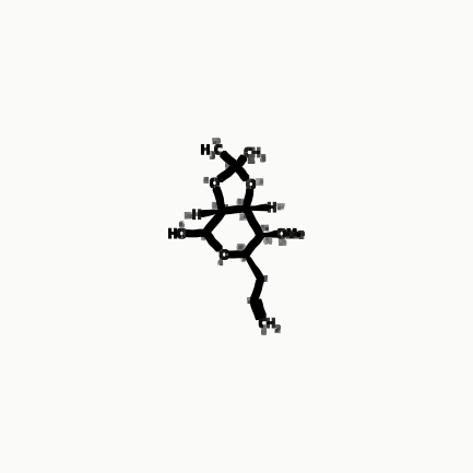 C=CC[C@H]1OC(O)[C@@H]2OC(C)(C)O[C@@H]2[C@H]1OC